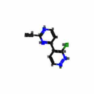 CSc1nccc(-c2ccnnc2Cl)n1